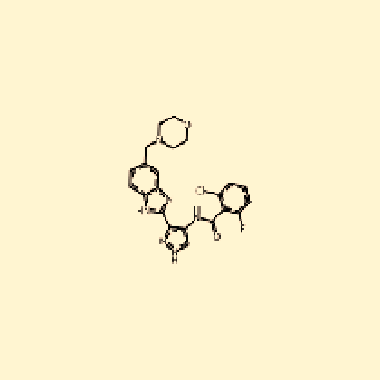 O=C(Nc1c[nH]nc1-c1nc2cc(CN3CCOCC3)ccc2[nH]1)c1c(F)cccc1Cl